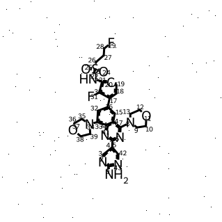 Nc1ncc(-c2nc(N3CCOCC3)c3cc(-c4cccc(NS(=O)(=O)CCCF)c4F)cc(N4CCOCC4)c3n2)cn1